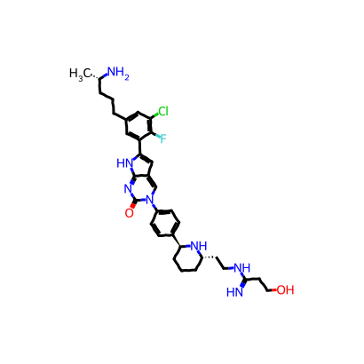 C[C@H](N)CCCc1cc(Cl)c(F)c(-c2cc3cn(-c4ccc([C@@H]5CCC[C@@H](CCNC(=N)CCO)N5)cc4)c(=O)nc3[nH]2)c1